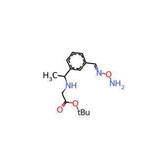 CC(NCC(=O)OC(C)(C)C)c1cccc(C=NON)c1